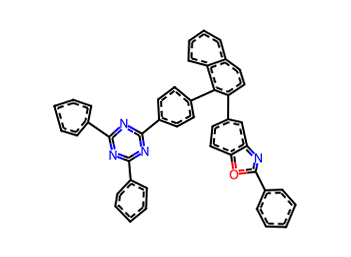 c1ccc(-c2nc(-c3ccccc3)nc(-c3ccc(-c4c(-c5ccc6oc(-c7ccccc7)nc6c5)ccc5ccccc45)cc3)n2)cc1